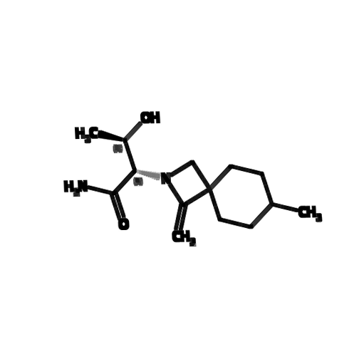 C=C1N([C@H](C(N)=O)[C@@H](C)O)CC12CCC(C)CC2